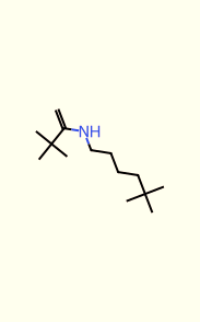 C=C(NCCCCC(C)(C)C)C(C)(C)C